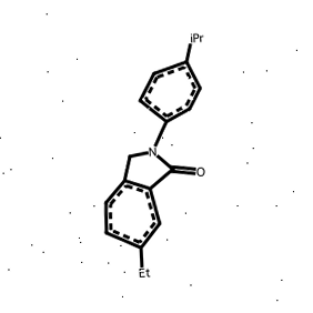 CCc1ccc2c(c1)C(=O)N(c1ccc(C(C)C)cc1)C2